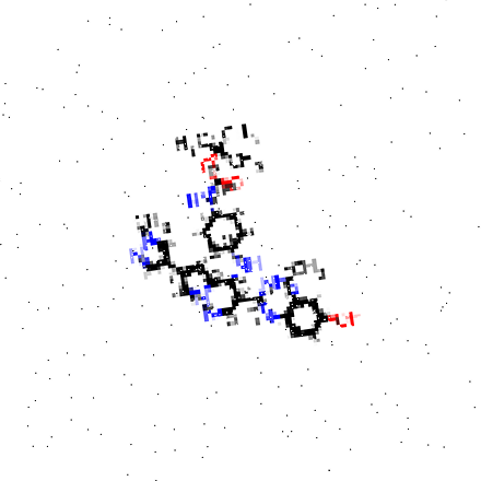 CCc1cc(O)ccc1/N=C(\N)c1cnn2cc(-c3cnn(C)c3)cc2c1N[C@H]1CC[C@H](NC(=O)OC(C)(C)C)CC1